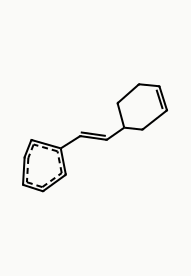 C1=CCC(C=Cc2ccccc2)CC1